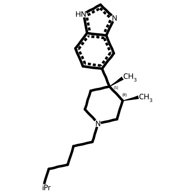 CC(C)CCCCN1CC[C@](C)(c2ccc3[nH]cnc3c2)[C@@H](C)C1